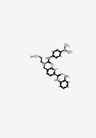 CCOC(=O)CCN(Cc1ccc(C(=O)Nc2ccccc2N)nc1)C(=O)Nc1ccc(N(C)C)cc1